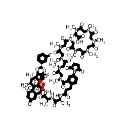 C[C@H](NC(=O)CCc1ccc(N2C(=O)C=CC2=O)cc1C(=O)N(C)CC(=O)N(C)CC(=O)N(C)CC(=O)N(C)CC(=O)N(C)CC(=O)N(C)CC(=O)N(C)CC(=O)N(C)CC(=O)N(C)CC(=O)N(C)CC(=O)O)C(=O)N[C@@H](C)C(=O)NCOCC(=O)[C@@]12O[C@H](c3cccc(F)c3)O[C@@H]1C[C@H]1[C@@H]3C[C@H](F)C4=CC(=O)C=C[C@]4(C)[C@@]3(F)[C@@H](O)C[C@@]12C